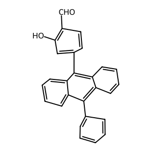 O=Cc1ccc(-c2c3ccccc3c(-c3ccccc3)c3ccccc23)cc1O